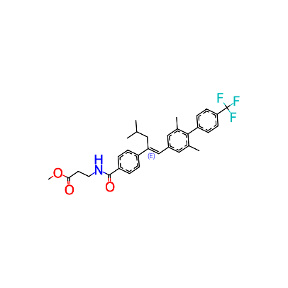 COC(=O)CCNC(=O)c1ccc(/C(=C/c2cc(C)c(-c3ccc(C(F)(F)F)cc3)c(C)c2)CC(C)C)cc1